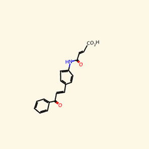 O=C(O)C=CC(=O)Nc1ccc(C=CC(=O)c2ccccc2)cc1